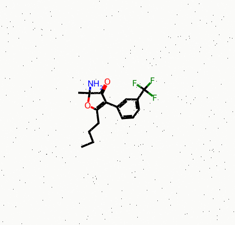 CCCCC1=C(c2cccc(C(F)(F)F)c2)C(=O)C(C)(N)O1